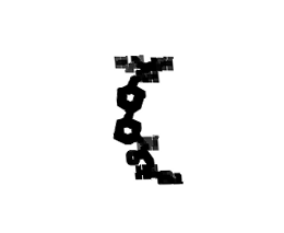 CC(C)(C)NCC(=O)Nc1cccc(-c2ccc(CNC(=N)N)cc2)c1